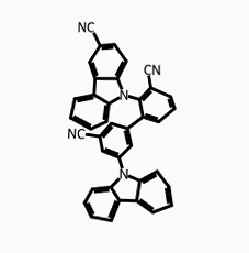 N#Cc1cc(-c2cccc(C#N)c2-n2c3ccccc3c3cc(C#N)ccc32)cc(-n2c3ccccc3c3ccccc32)c1